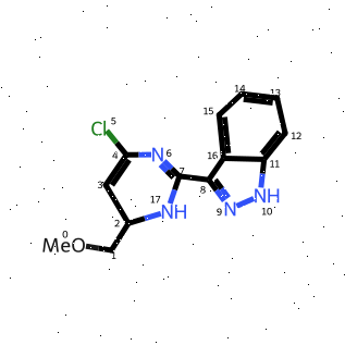 COCC1C=C(Cl)N=C(c2n[nH]c3ccccc23)N1